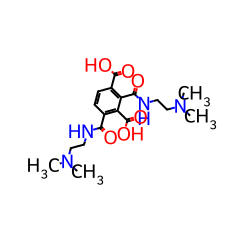 CN(C)CCNC(=O)c1ccc(C(=O)O)c(C(=O)NCCN(C)C)c1C(=O)O